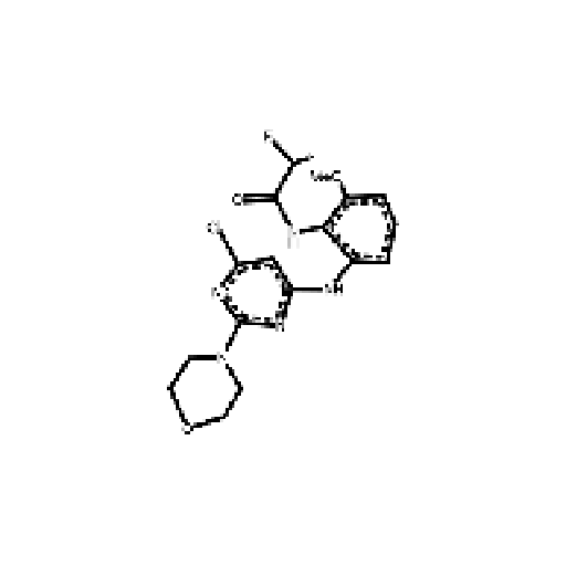 COc1cccc(Nc2cc(Cl)nc(N3CCOCC3)n2)c1NC(=O)C(F)F